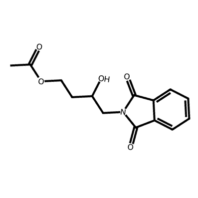 CC(=O)OCCC(O)CN1C(=O)c2ccccc2C1=O